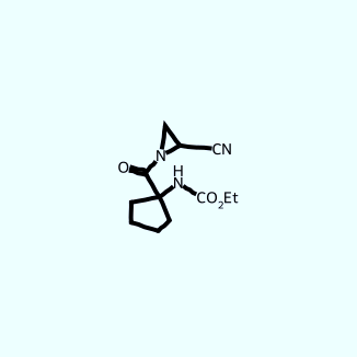 CCOC(=O)NC1(C(=O)N2CC2C#N)CCCC1